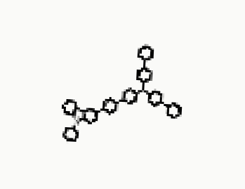 c1ccc(-c2ccc(C(c3ccc(-c4ccccc4)cc3)c3ccc(-c4ccc(-c5ccc6c(c5)c5ccccc5n6-c5ccccc5)cc4)cc3)cc2)cc1